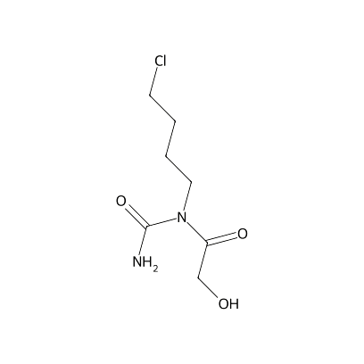 NC(=O)N(CCCCCl)C(=O)CO